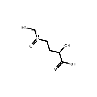 O=C(O)C(O)CC[PH](=O)CO